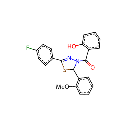 COc1ccccc1C1SC(c2ccc(F)cc2)=NN1C(=O)c1ccccc1O